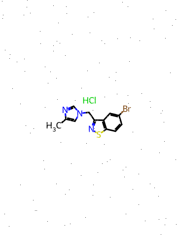 Cc1cn(Cc2nsc3ccc(Br)cc23)cn1.Cl